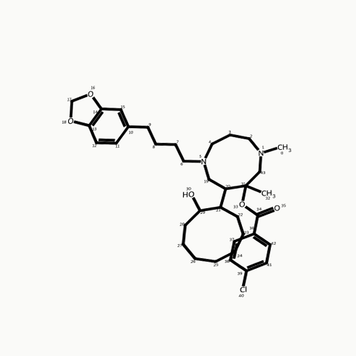 CN1CCCN(CCCCc2ccc3c(c2)OCO3)CC(C2CCCCCCCC2O)C(C)(OC(=O)c2ccc(Cl)cc2)C1